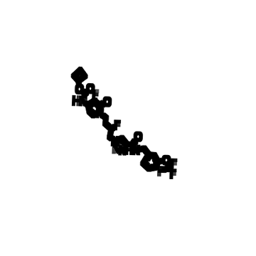 O=C(Nc1ccn(CCC(F)Cn2cc(C(=O)NCc3cccc(OC(F)(F)F)c3)nn2)c(=O)c1F)OC1CCC1